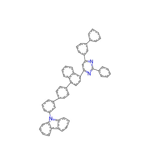 c1ccc(-c2cccc(-c3cc(-c4ccc(-c5ccc(-c6cccc(-n7c8ccccc8c8ccccc87)c6)cc5)c5ccccc45)nc(-c4ccccc4)n3)c2)cc1